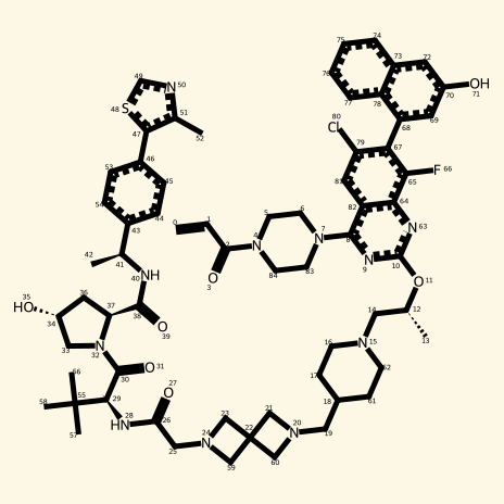 C=CC(=O)N1CCN(c2nc(O[C@H](C)CN3CCC(CN4CC5(CN(CC(=O)N[C@H](C(=O)N6C[C@H](O)C[C@H]6C(=O)N[C@@H](C)c6ccc(-c7scnc7C)cc6)C(C)(C)C)C5)C4)CC3)nc3c(F)c(-c4cc(O)cc5ccccc45)c(Cl)cc23)CC1